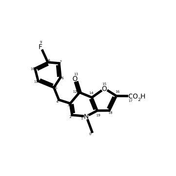 Cn1cc(Cc2ccc(F)cc2)c(=O)c2oc(C(=O)O)cc21